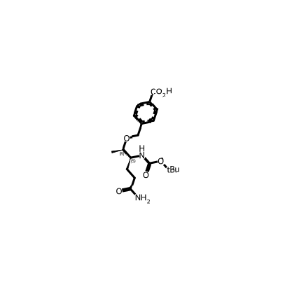 C[C@@H](OCc1ccc(C(=O)O)cc1)[C@H](CCC(N)=O)NC(=O)OC(C)(C)C